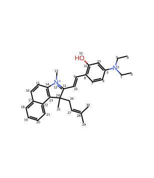 CCN(CC)c1ccc(/C=C/C2=[N+](C)c3ccc4ccccc4c3C2(C)CC=C(C)C)c(O)c1